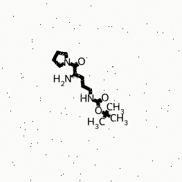 CC(C)(C)OC(=O)NCCC[C@@H](N)C(=O)N1CCCC1